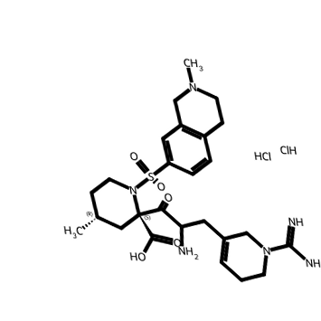 C[C@@H]1CCN(S(=O)(=O)c2ccc3c(c2)CN(C)CC3)[C@](C(=O)O)(C(=O)C(N)CC2=CCCN(C(=N)N)C2)C1.Cl.Cl